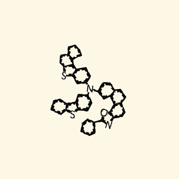 c1ccc(-c2nc3ccc4ccc5ccc(N(c6ccc7c(c6)sc6ccc8ccccc8c67)c6ccc7sc8ccccc8c7c6)cc5c4c3o2)cc1